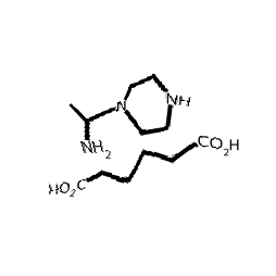 CC(N)N1CCNCC1.O=C(O)CCCCC(=O)O